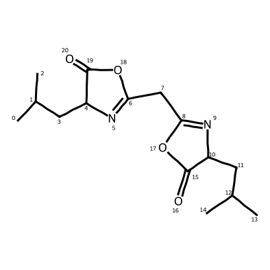 CC(C)CC1N=C(CC2=NC(CC(C)C)C(=O)O2)OC1=O